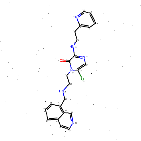 O=c1c(NCCc2ccccn2)ncc(Cl)n1CCNCc1cccc2ccncc12